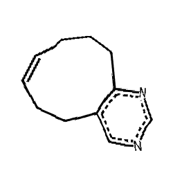 C1=C\CCc2cncnc2CCC/1